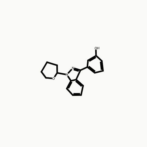 Oc1cccc(-c2nn(C3CCCCO3)c3ccccc23)c1